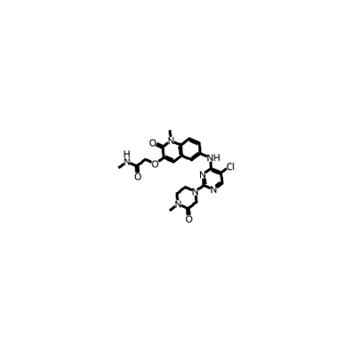 CNC(=O)COc1cc2cc(Nc3nc(N4CCN(C)C(=O)C4)ncc3Cl)ccc2n(C)c1=O